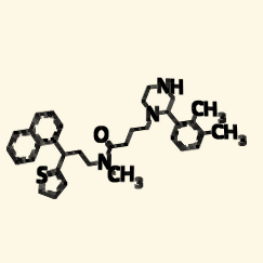 Cc1cccc(C2CNCCN2CCCC(=O)N(C)CCC(c2cccs2)c2cccc3ccccc23)c1C